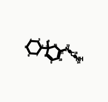 CC1(C2CCCCC2)C=CC=C(N=C=N)C1